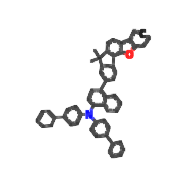 CC1(C)c2cc(-c3ccc(N(c4ccc(C5=CC=CCC5)cc4)c4ccc(-c5ccccc5)cc4)c4ccccc34)ccc2-c2c1ccc1c2oc2ccccc21